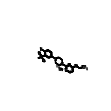 CC(C)[C@@H]1CN(c2ccc(F)c(S(C)(=O)=O)c2)CCN1c1nccc(OCC(F)(F)F)n1